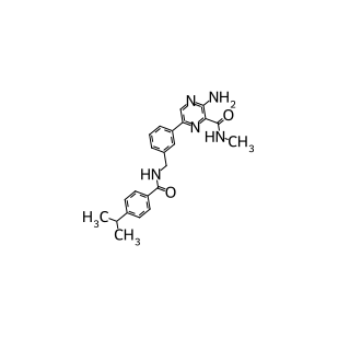 CNC(=O)c1nc(-c2cccc(CNC(=O)c3ccc(C(C)C)cc3)c2)cnc1N